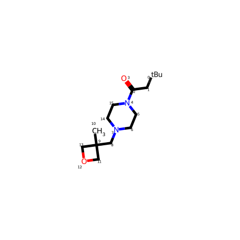 CC(C)(C)CC(=O)N1CCN(CC2(C)COC2)CC1